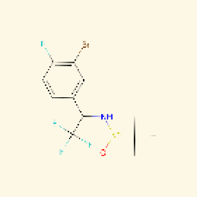 CC(C)(C)[S+]([O-])NC(c1ccc(F)c(Br)c1)C(F)(F)F